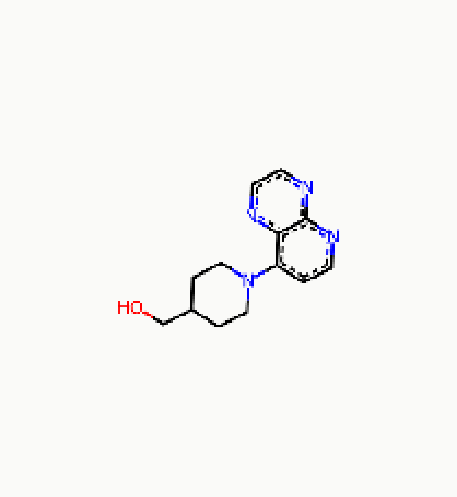 OCC1CCN(c2ccnc3nccnc23)CC1